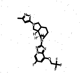 Cc1cc(N2CC3CC[C@@H]4[C@H]([C@@H]3C2)N4c2nc3c(OCC(F)(F)F)cc(F)cn3n2)sn1